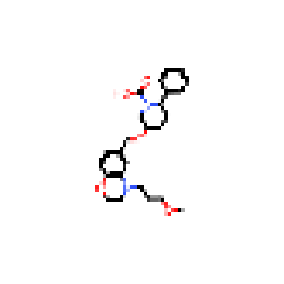 COCCCN1CCOc2ccc(COC3CCC(c4ccccc4)N(C(=O)O)C3)cc21